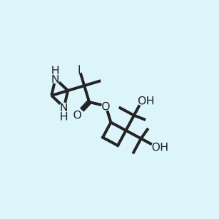 CC(C)(O)C1(C(C)(C)O)CCC1OC(=O)C(C)(I)C12NC1N2